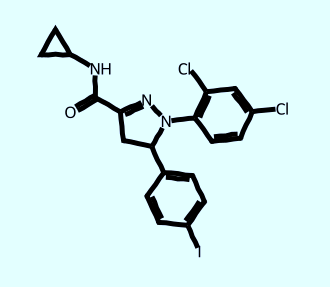 O=C(NC1CC1)C1=NN(c2ccc(Cl)cc2Cl)C(c2ccc(I)cc2)C1